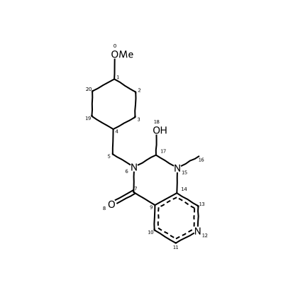 COC1CCC(CN2C(=O)c3ccncc3N(C)C2O)CC1